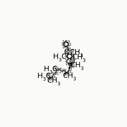 Cc1c(C)c2c(c(C)c1OCc1ccccc1)CC[C@@](C)(C#CCC(C)CCCC(C)CCCC(C)C)O2